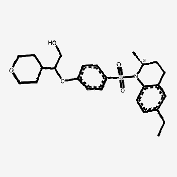 CCc1ccc2c(c1)CC[C@H](C)N2S(=O)(=O)c1ccc(OC(CO)C2CCOCC2)cc1